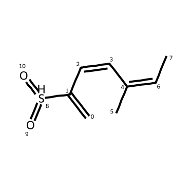 C=C(/C=C\C(C)=C/C)[SH](=O)=O